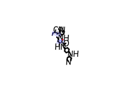 C=C(/C=C(C)\C(=C/C)C(=O)Nc1ccc(Nc2ccncc2)cc1)Nc1ccnc(=C)/c1=C\C(C#N)=C/C